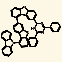 c1ccc(C2=NC(c3ccc4oc5cccc(-c6ccc7c(c6)sc6cccc(-n8c9ccccc9c9ccccc98)c67)c5c4c3)NC(c3ccccc3)=N2)cc1